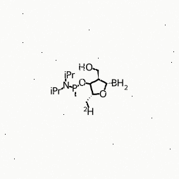 [2H]C[C@H]1O[C@@H](B)[C@H](CO)C1OP(C)N(C(C)C)C(C)C